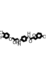 O=C(Nc1ccc(NC[C@@H](O)COc2ccc(Cl)c(F)c2)cc1)c1cc2cc(Cl)ccc2o1